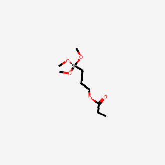 [CH2]CC(=O)OCCC[Si](OC)(OC)OC